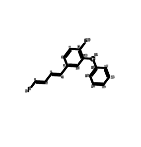 F/C=C/C=C/c1ccc(F)c(Oc2ccccc2)c1